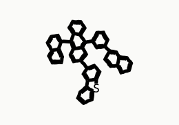 c1cc(-c2ccc3ccccc3c2)cc(-c2c3ccccc3c(-c3cccc4ccccc34)c3ccc(-c4ccc5sc6ccccc6c5c4)cc23)c1